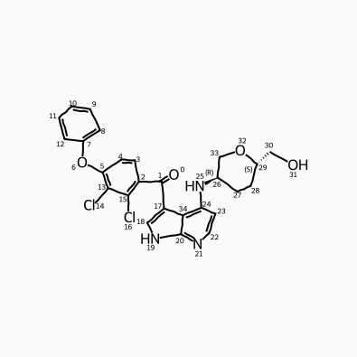 O=C(c1ccc(Oc2ccccc2)c(Cl)c1Cl)c1c[nH]c2nccc(N[C@@H]3CC[C@@H](CO)OC3)c12